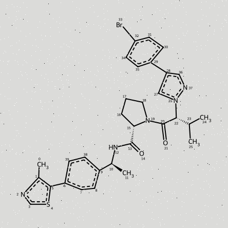 Cc1ncsc1-c1ccc([C@H](C)NC(=O)[C@@H]2CCCN2C(=O)[C@@H](C(C)C)n2cc(-c3ccc(Br)cc3)cn2)cc1